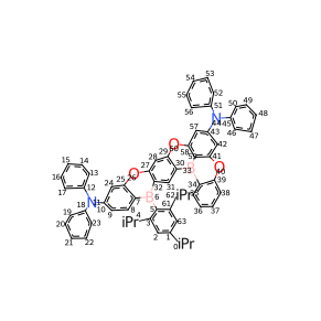 CC(C)c1cc(C(C)C)c(B2c3ccc(N(c4ccccc4)c4ccccc4)cc3Oc3cc4c(cc32)B2c3ccccc3Oc3cc(N(c5ccccc5)c5ccccc5)cc(c32)O4)c(C(C)C)c1